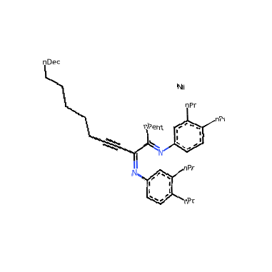 CCCCCCCCCCCCCCCC#CC(=Nc1ccc(CCC)c(CCC)c1)C(CCCCC)=Nc1ccc(CCC)c(CCC)c1.[Ni]